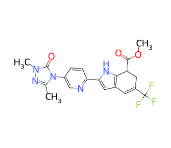 COC(=O)C1CC(C(F)(F)F)=Cc2cc(-c3ccc(-n4c(C)nn(C)c4=O)cn3)[nH]c21